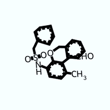 Cc1ccc(NS(=O)(=O)Cc2ccccc2)c(OCc2ccccc2)c1CC=O